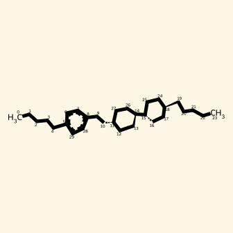 CCCCCc1ccc(CC[C@H]2CC[C@H]([C@H]3CC[C@H](CCCCC)CC3)CC2)cc1